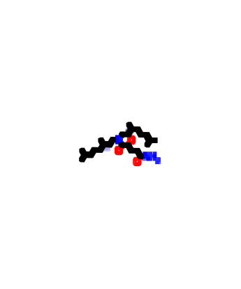 CC(C)=CCC/C(C)=C/CN(C/C=C(\C)CCC=C(C)C)C(=O)C(=O)CCC(N)=O